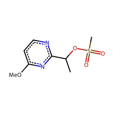 COc1ccnc(C(C)OS(C)(=O)=O)n1